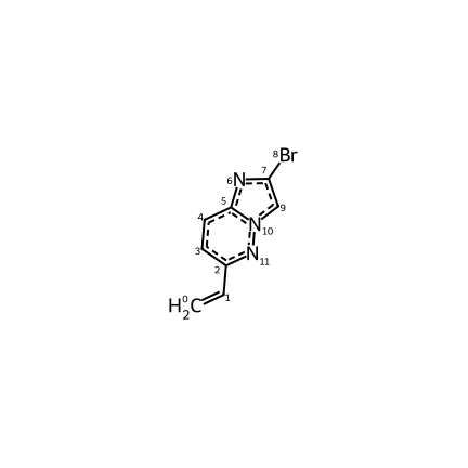 C=Cc1ccc2nc(Br)cn2n1